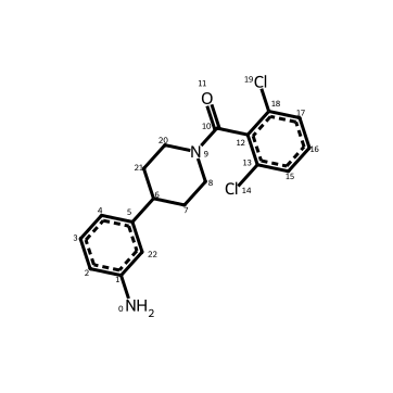 Nc1cccc(C2CCN(C(=O)c3c(Cl)cccc3Cl)CC2)c1